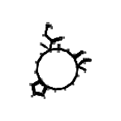 CN[C@@]1(C)CCCCn2nncc2CCC[C@@](C)(C(=O)CN)NCC1=O